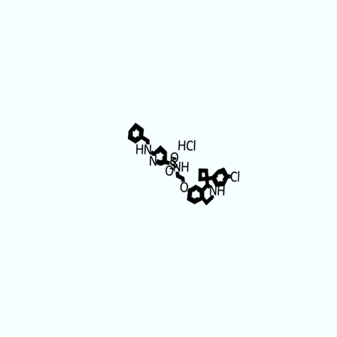 Cl.O=S(=O)(NCCOc1ccc2c(c1)C(C1(c3ccc(Cl)cc3)CCC1)NCC2)c1ccc(NCc2ccccc2)nc1